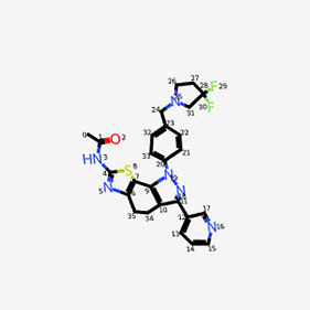 CC(=O)Nc1nc2c(s1)-c1c(c(-c3cccnc3)nn1-c1ccc(CN3CCC(F)(F)C3)cc1)CC2